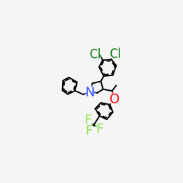 CC(Oc1ccc(C(F)(F)F)cc1)C1CN(Cc2ccccc2)CC1c1ccc(Cl)c(Cl)c1